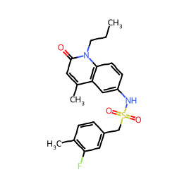 CCCn1c(=O)cc(C)c2cc(NS(=O)(=O)Cc3ccc(C)c(F)c3)ccc21